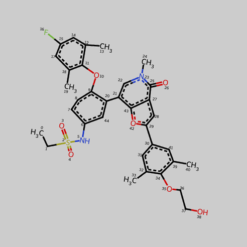 CCS(=O)(=O)Nc1ccc(Oc2c(C)cc(F)cc2C)c(-c2cn(C)c(=O)c3cc(-c4cc(C)c(OCCO)c(C)c4)oc23)c1